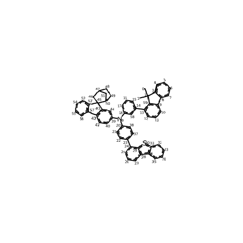 CC1(C)c2ccccc2-c2cccc(-c3cccc(N(c4ccc(-c5cccc6c5sc5ccccc56)cc4)c4ccc5c(c4)C4(CC6CCC4C6)c4ccccc4-5)c3)c21